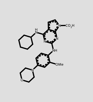 COc1cc(N2CCOCC2)ccc1Nc1nc(NC2CCCCC2)c2ccn(C(=O)O)c2n1